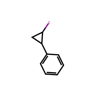 IC1CC1c1ccccc1